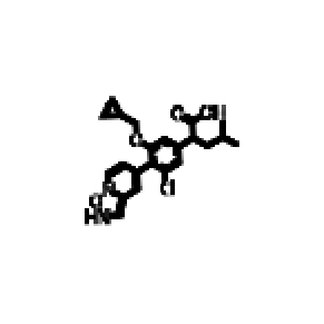 CC(C)CC(C(=O)O)c1cc(Cl)c(C2=CC3=CNON3C=C2)c(OCC2CC2)c1